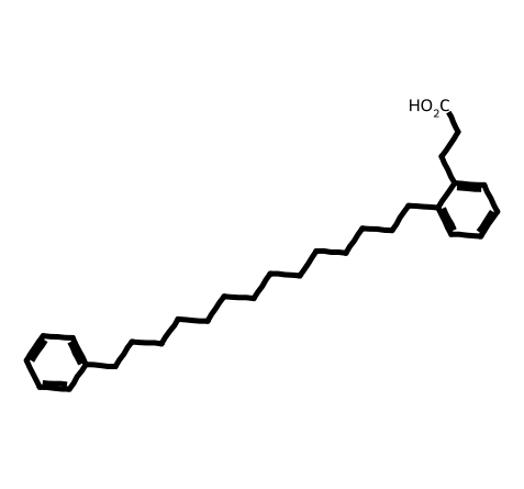 O=C(O)CCc1ccccc1CCCCCCCCCCCCCCc1ccccc1